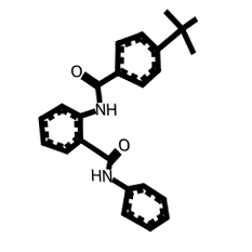 CC(C)(C)c1ccc(C(=O)Nc2ccccc2C(=O)Nc2ccccc2)cc1